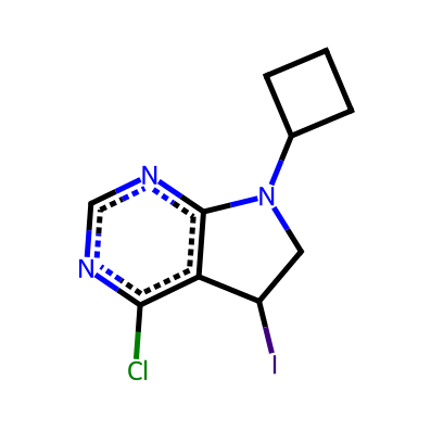 Clc1ncnc2c1C(I)CN2C1CCC1